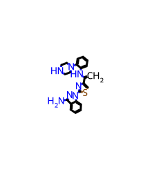 C=C(Nc1ccccc1N1CCNCC1)c1csc(-n2nc(N)c3ccccc32)n1